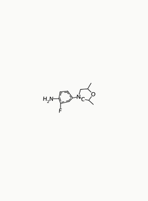 CC1CN(c2ccc(N)c(F)c2)CC(C)O1